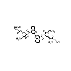 CCOC(=O)C(CSSC(=O)[C@@H](N)CS)NC(=O)c1cc(-c2cc(C(=O)NC(CSSC(=O)[C@@H](N)CS)C(=O)OCC)c3ccccc3n2)nc2ccccc12